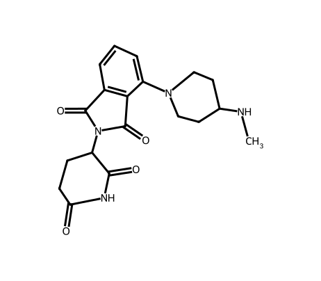 CNC1CCN(c2cccc3c2C(=O)N(C2CCC(=O)NC2=O)C3=O)CC1